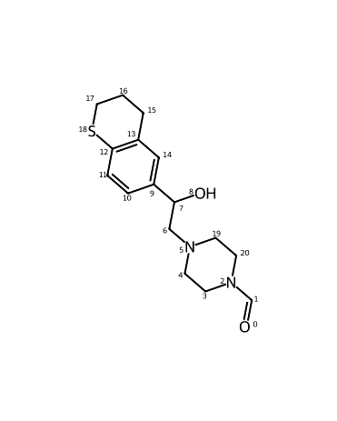 O=CN1CCN(CC(O)c2ccc3c(c2)CCCS3)CC1